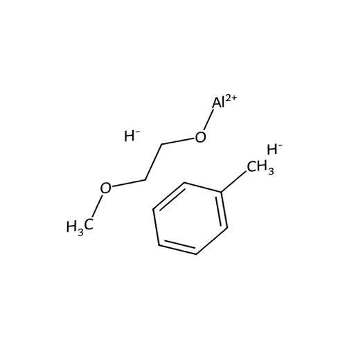 COCC[O][Al+2].Cc1ccccc1.[H-].[H-]